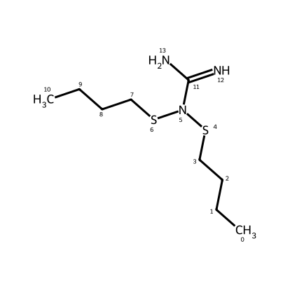 CCCCSN(SCCCC)C(=N)N